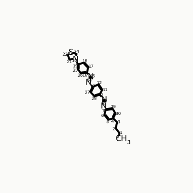 CCCCc1ccc(N=Nc2ccc(N=Nc3ccc(N4CCSC4)cc3)cc2)cc1